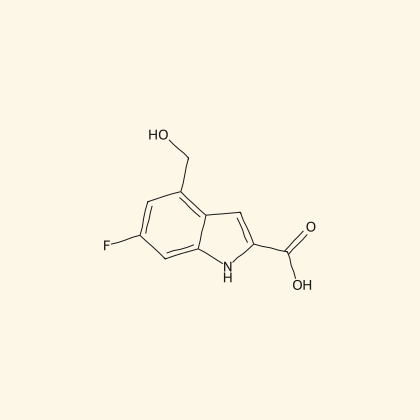 O=C(O)c1cc2c(CO)cc(F)cc2[nH]1